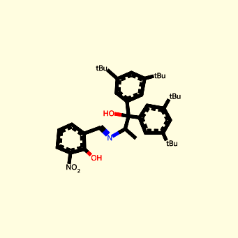 CC(N=Cc1cccc([N+](=O)[O-])c1O)C(O)(c1cc(C(C)(C)C)cc(C(C)(C)C)c1)c1cc(C(C)(C)C)cc(C(C)(C)C)c1